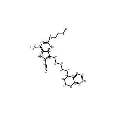 CCCCOc1nc(N)c2[nH]c(C#N)c(CCCCCN3CCCc4ccccc43)c2n1